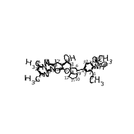 CCc1cc(CCC2(C3CCCC3)CC(O)=C(Cc3nc4nc(C)cc(C)n4n3)C(=O)O2)ccc1NS(C)(=O)=O